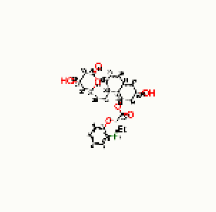 CC[C@H](Oc1ccccc1F)C(=O)OC1CC(O)C=C2C=CC(C)C(CC[C@@H]3C[C@@H](O)CC(=O)O3)C21